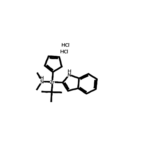 C[SiH](C)[Zr]([C]1=CC=CC1)([c]1cc2ccccc2[nH]1)[C](C)(C)C.Cl.Cl